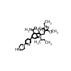 CCC(C)n1c(Cc2c(OC)nn(CC)c2C)c(C)c2c(C(N)=O)cc(-c3ccc(N4CCNCC4)nc3)cc21